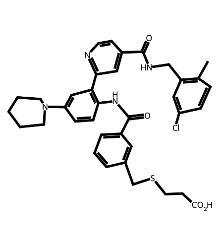 Cc1ccc(Cl)cc1CNC(=O)c1ccnc(-c2cc(N3CCCCC3)ccc2NC(=O)c2cccc(CSCCC(=O)O)c2)c1